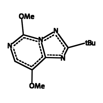 COc1cnc(OC)n2nc(C(C)(C)C)nc12